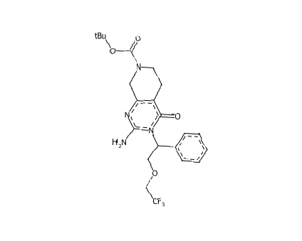 CC(C)(C)OC(=O)N1CCc2c(nc(N)n(C(COCC(F)(F)F)c3ccccc3)c2=O)C1